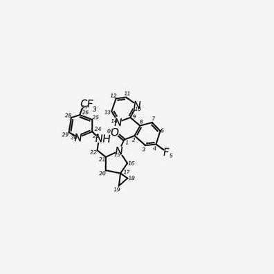 O=C(c1cc(F)ccc1-c1ncccn1)N1CC2(CC2)CC1CNc1cc(C(F)(F)F)ccn1